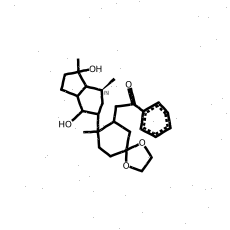 C[C@H]1CC(C2(C)CCC3(CC2CC(=O)c2ccccc2)OCCO3)C(O)C2CCC(C)(O)C21